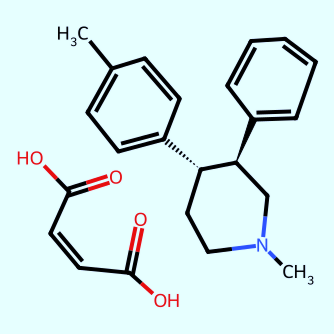 Cc1ccc([C@H]2CCN(C)C[C@@H]2c2ccccc2)cc1.O=C(O)/C=C\C(=O)O